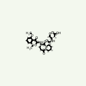 COc1cccc(OC)c1C(=O)C(=O)NN1CCC(=O)N2CCC[C@@H](C(=O)N[C@H](C=O)CC(=O)O)N2C1=O